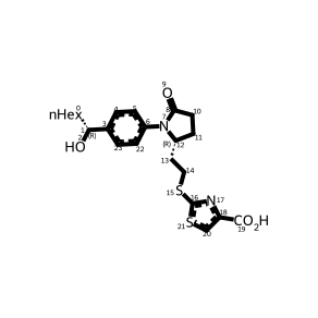 CCCCCC[C@@H](O)c1ccc(N2C(=O)CC[C@@H]2CCSc2nc(C(=O)O)cs2)cc1